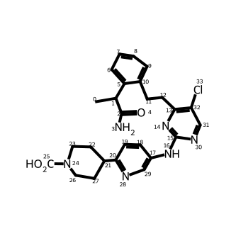 CC(C(N)=O)c1ccccc1CCc1nc(Nc2ccc(C3CCN(C(=O)O)CC3)nc2)ncc1Cl